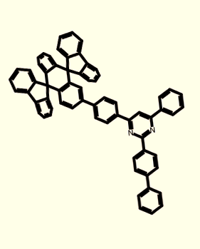 c1ccc(-c2ccc(-c3nc(-c4ccccc4)cc(-c4ccc(-c5ccc6c(c5)C5(c7ccccc7-c7ccccc75)c5ccccc5C65c6ccccc6-c6ccccc65)cc4)n3)cc2)cc1